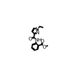 CCn1ccc(C(=O)Nc2ccccc2C(=O)OC)n1